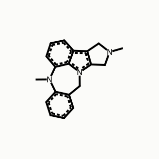 CN1Cc2c(n3c4c(cccc24)N(C)c2ccccc2C3)C1